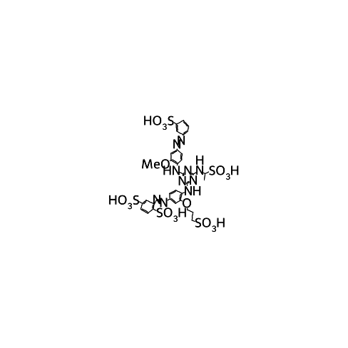 COc1cc(N=Nc2cccc(S(=O)(=O)O)c2)ccc1Nc1nc(Nc2ccc(N=Nc3cc(S(=O)(=O)O)ccc3S(=O)(=O)O)cc2OCCCS(=O)(=O)O)nc(NC(C)S(=O)(=O)O)n1